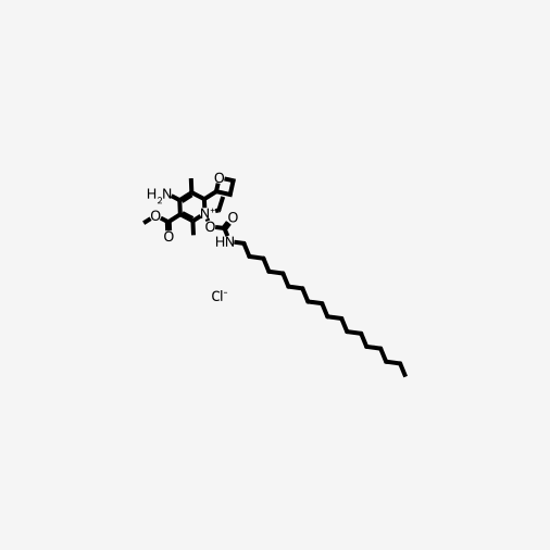 CCCCCCCCCCCCCCCCCCNC(=O)O[N+]1(CC)C(C)=C(C(=O)OC)C(N)=C(C)C1C1CCO1.[Cl-]